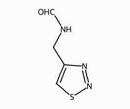 O=CNCc1csnn1